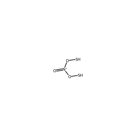 O=[N+](OS)OS